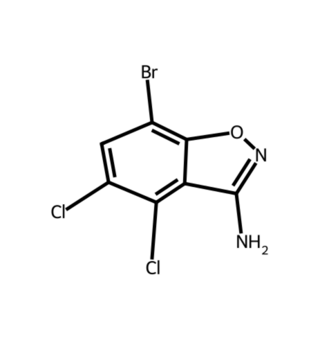 Nc1noc2c(Br)cc(Cl)c(Cl)c12